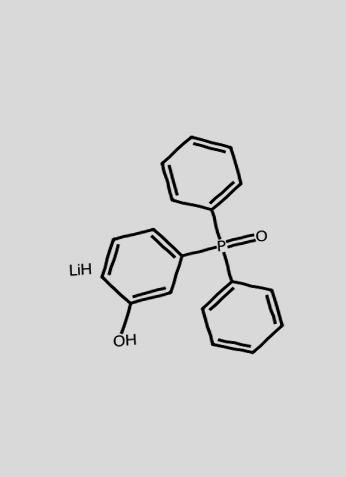 O=P(c1ccccc1)(c1ccccc1)c1cccc(O)c1.[LiH]